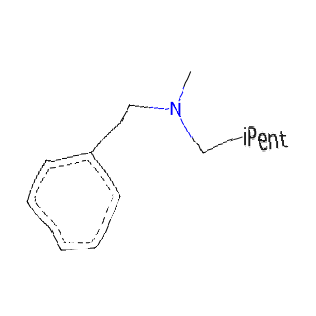 CCCC(C)CN(C)Cc1ccccc1